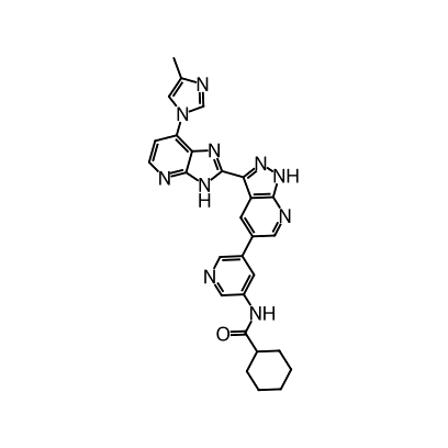 Cc1cn(-c2ccnc3[nH]c(-c4n[nH]c5ncc(-c6cncc(NC(=O)C7CCCCC7)c6)cc45)nc23)cn1